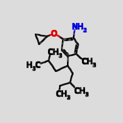 CCC(C)CC(CC(C)C)c1cc(OC2CC2)c(N)cc1C